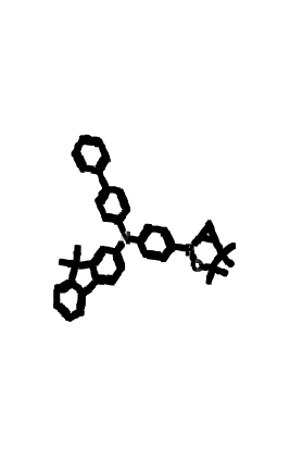 CC1(C)c2ccccc2-c2ccc(N(c3ccc(B4OC(C)(C)C(C)(C)C5CC45)cc3)c3ccc(-c4ccccc4)cc3)cc21